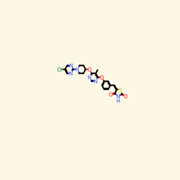 Cc1c(Oc2cccc(C=C3SC(=O)NC3=O)c2)ncnc1OC1CCN(c2ncc(Cl)cn2)CC1